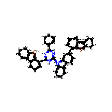 c1ccc(-c2nc(-c3cccc4c3sc3ccccc34)nc(-n3c4ccccc4c4ccc(-c5cccc6c5sc5ccccc56)cc43)n2)cc1